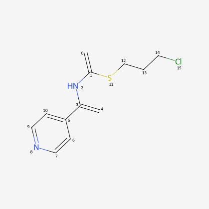 C=C(NC(=C)c1ccncc1)SCCCCl